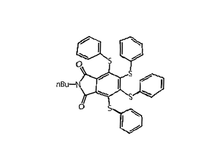 CCCCN1C(=O)c2c(Sc3ccccc3)c(Sc3ccccc3)c(Sc3ccccc3)c(Sc3ccccc3)c2C1=O